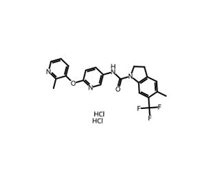 Cc1cc2c(cc1C(F)(F)F)N(C(=O)Nc1ccc(Oc3cccnc3C)nc1)CC2.Cl.Cl